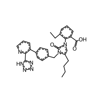 CCCCc1cn(-c2c(CC)cccc2C(=O)O)c(=O)n1Cc1ccc(-c2cccnc2-c2nnn[nH]2)cc1